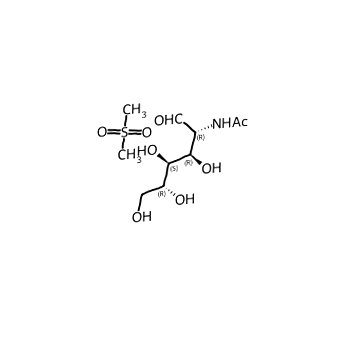 CC(=O)N[C@@H](C=O)[C@@H](O)[C@H](O)[C@H](O)CO.CS(C)(=O)=O